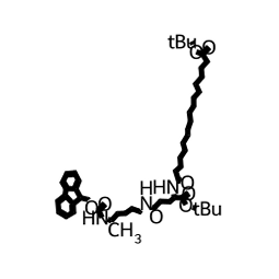 CC(CCCCNC(=O)CCC(NC(=O)CCCCCCCCCCCCCCCCC(=O)OC(C)(C)C)C(=O)OC(C)(C)C)NC(=O)OCC1c2ccccc2-c2ccccc21